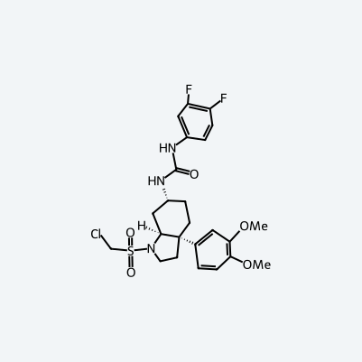 COc1ccc([C@@]23CC[C@@H](NC(=O)Nc4ccc(F)c(F)c4)C[C@@H]2N(S(=O)(=O)CCl)CC3)cc1OC